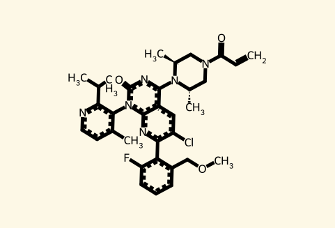 C=CC(=O)N1C[C@H](C)N(c2nc(=O)n(-c3c(C)ccnc3C(C)C)c3nc(-c4c(F)cccc4COC)c(Cl)cc23)[C@@H](C)C1